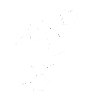 CC(Cn1cnc2c(N)ncnc21)OCP(=O)(NC(C)(C)C(=O)O)N(C)[C@H](C)c1ccc(Cl)cc1